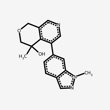 Cn1ncc2ccc(-c3cncc4c3C(C)(O)COC4)cc21